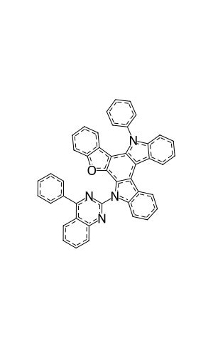 c1ccc(-c2nc(-n3c4ccccc4c4c5c6ccccc6n(-c6ccccc6)c5c5c6ccccc6oc5c43)nc3ccccc23)cc1